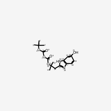 CC(C)(C)OC(=O)OC(=O)OC(C)(C)Cc1nc2ccc(O)cc2[nH]1